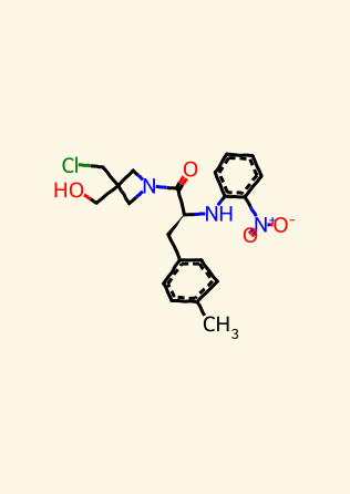 Cc1ccc(C[C@H](Nc2ccccc2[N+](=O)[O-])C(=O)N2CC(CO)(CCl)C2)cc1